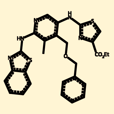 CCOC(=O)c1csc(Nc2cnc(Nc3nc4ccccc4s3)c(C)c2COCc2ccccc2)n1